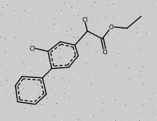 CCOC(=O)C(Cl)c1ccc(-c2ccccc2)c(Cl)c1